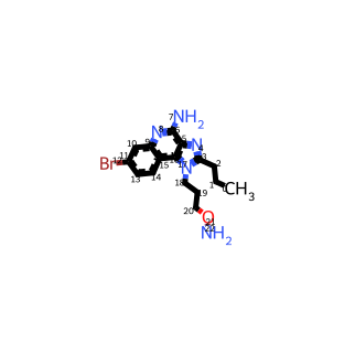 CCCc1nc2c(N)nc3cc(Br)ccc3c2n1CCCON